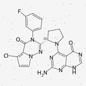 Nc1nc(N2CCC[C@H]2c2nn3ccc(Cl)c3c(=O)n2-c2cccc(F)c2)c2c(=O)nc[nH]c2n1